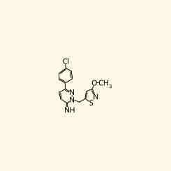 COc1cc(Cn2nc(-c3ccc(Cl)cc3)ccc2=N)sn1